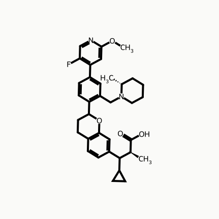 COc1cc(-c2ccc(C3CCc4ccc(C(C5CC5)[C@H](C)C(=O)O)cc4O3)c(CN3CCCC[C@H]3C)c2)c(F)cn1